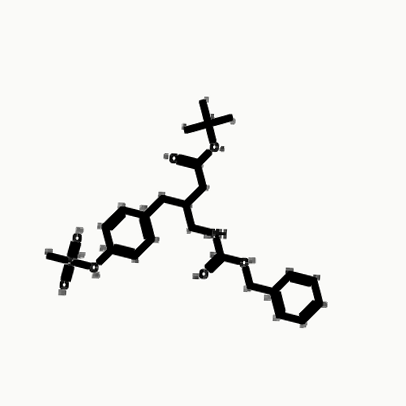 CC(C)(C)OC(=O)CC(CNC(=O)OCc1ccccc1)Cc1ccc(OS(C)(=O)=O)cc1